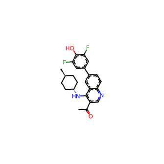 CC(=O)c1cnc2ccc(-c3cc(F)c(O)c(F)c3)cc2c1N[C@H]1CC[C@H](C)CC1